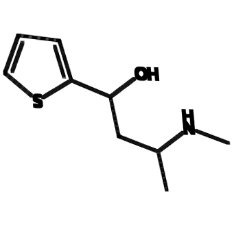 CNC(C)CC(O)c1cccs1